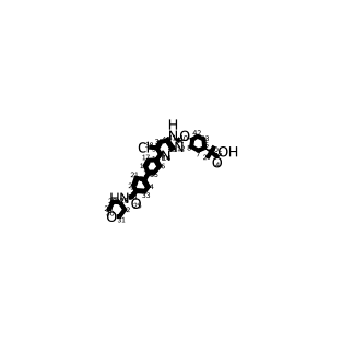 CC(C)(C(=O)O)[C@H]1CC[C@H](Oc2nc3nc(-c4ccc(-c5ccc(C(=O)NC6CCOCC6)cc5)cc4)c(Cl)cc3[nH]2)CC1